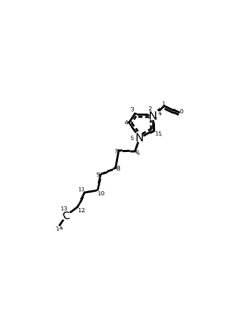 C=C[n+]1ccn(CCCCCCCCC)c1